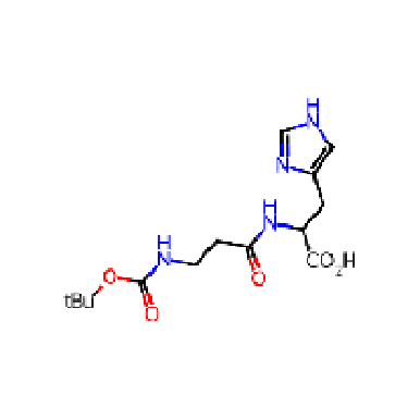 CC(C)(C)OC(=O)NCCC(=O)N[C@@H](Cc1c[nH]cn1)C(=O)O